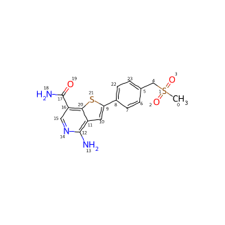 CS(=O)(=O)Cc1ccc(-c2cc3c(N)ncc(C(N)=O)c3s2)cc1